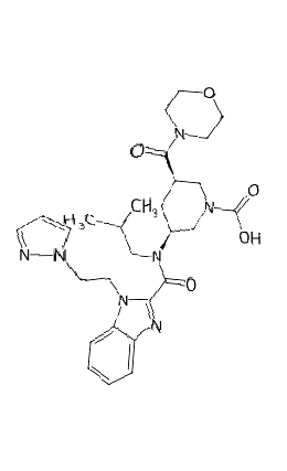 CC(C)CN(C(=O)c1nc2ccccc2n1CCn1cccn1)[C@H]1C[C@@H](C(=O)N2CCOCC2)CN(C(=O)O)C1